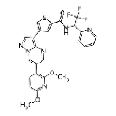 COc1ccc(-c2cnc3c(-c4csc(C(=O)NC(c5ccccn5)C(F)(F)F)c4)cnn3c2)c(OC)n1